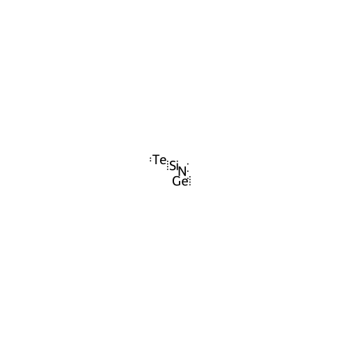 [Ge].[N].[Si].[Te]